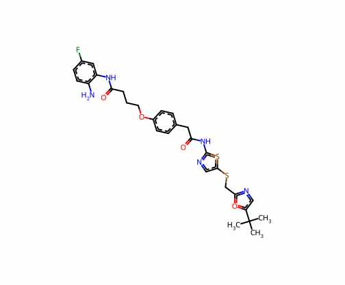 CC(C)(C)c1cnc(CSc2cnc(NC(=O)Cc3ccc(OCCCC(=O)Nc4cc(F)ccc4N)cc3)s2)o1